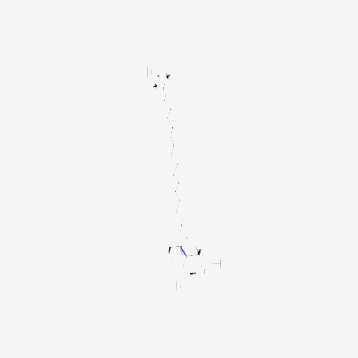 O=C(O)C/C(C(=O)O)=C(/CCCCCCCCCCCCCCCCOS(=O)(=O)O)C(=O)O